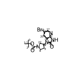 CC(C)(C)OC(=O)N1CC[C@@H](n2c(=O)[nH]c3ncc(Br)cc32)C1